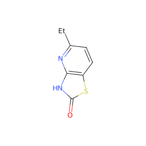 CCc1ccc2sc(=O)[nH]c2n1